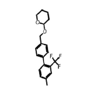 Cc1ccc(-c2ccc(COC3CCCCO3)cc2)c(C(F)(F)F)c1